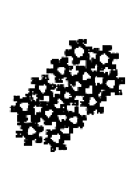 c1ccc(N2c3ccccc3B3c4cc5c(cc4N(c4ccccc4)c4cc(N6c7ccccc7Sc7ccccc76)cc2c43)N(c2ccccc2)c2cc(N(C3CCCCC3)C3CCCCC3)cc3c2B5c2ccccc2N3c2ccccc2)cc1